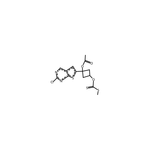 CSC(=S)OC1CC(OC(C)=O)(c2cc3cnc(Cl)nc3s2)C1